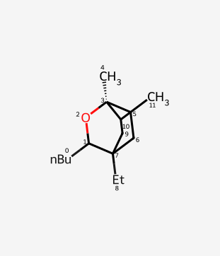 CCCCC1O[C@@]2(C)CCC1(CC)CC2C